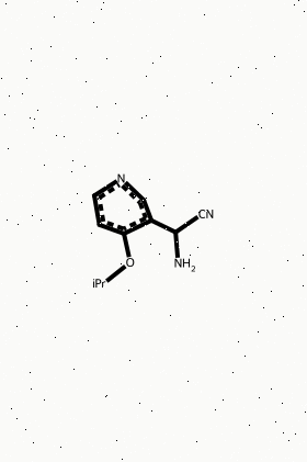 CC(C)Oc1ccncc1C(N)C#N